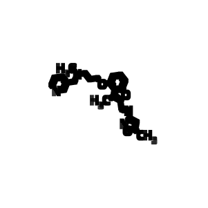 Cc1cc(N=Cc2oc3cccc(OCCCN(C)Cc4cccnc4)c3c2C)no1